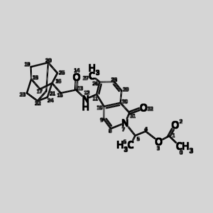 CC(=O)OCC(C)n1ccc2c(NC(=O)CC34CC5CC(CC(C5)C3)C4)c(C)ccc2c1=O